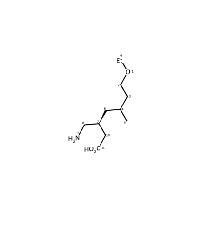 CCOCCC(C)C[C@H](CN)CC(=O)O